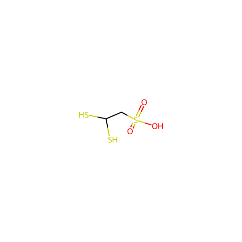 O=S(=O)(O)CC(S)S